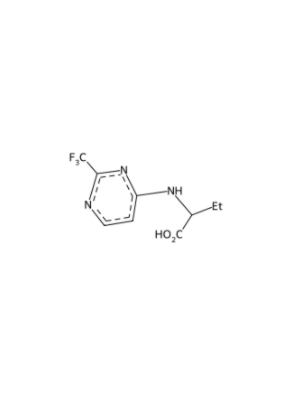 CCC(Nc1ccnc(C(F)(F)F)n1)C(=O)O